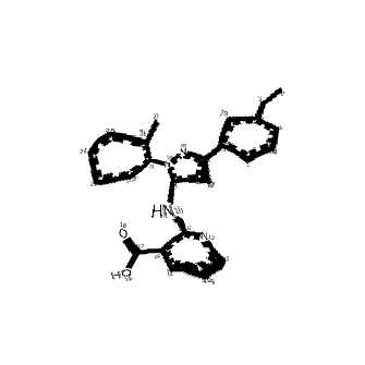 CCc1cccc(-c2cc(Nc3ncccc3C(=O)O)n(-c3ccccc3C)n2)c1